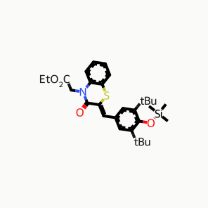 CCOC(=O)CN1C(=O)C(=Cc2cc(C(C)(C)C)c(O[Si](C)(C)C)c(C(C)(C)C)c2)Sc2ccccc21